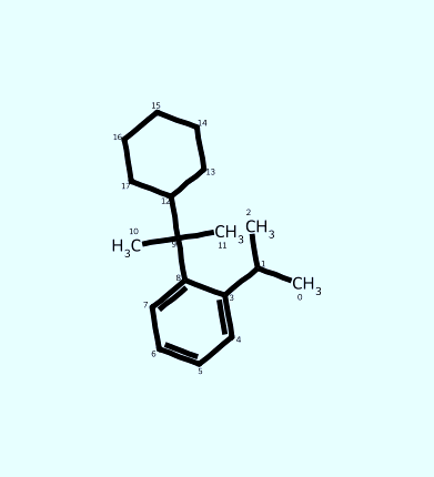 CC(C)c1ccccc1C(C)(C)C1CCCCC1